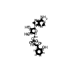 Nc1ncnc2c1ncn2[C@@H]1O[C@H](COS(=O)(=O)NC(=O)c2ccccc2O)C(O)C1O